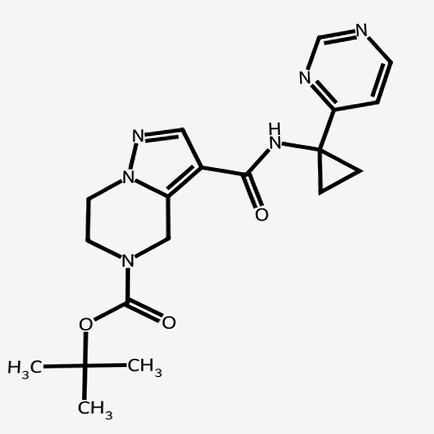 CC(C)(C)OC(=O)N1CCn2ncc(C(=O)NC3(c4ccncn4)CC3)c2C1